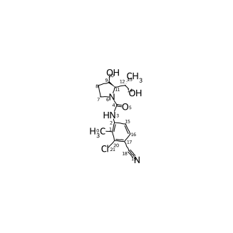 Cc1c(NC(=O)N2CCC(O)[C@H]2[C@H](C)O)ccc(C#N)c1Cl